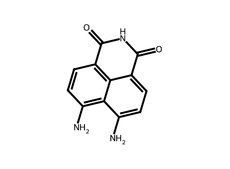 Nc1ccc2c3c(ccc(N)c13)C(=O)NC2=O